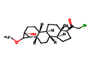 COC1C2[C@H]3CC[C@@H]4[C@H](CC[C@]5(C)[C@@H](C(=O)CBr)CC[C@@H]45)[C@H]3CC[C@]12O